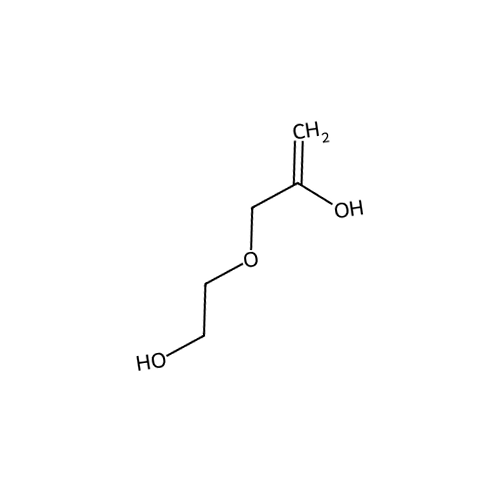 C=C(O)COCCO